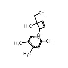 CCC1(C)C=CC1[n+]1cc(C)c(C)cc1C